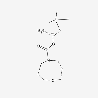 CC(C)(C)C[C@@H](N)OC(=O)N1CCCCCCC1